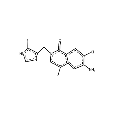 Cc1[nH]cnc1Cn1cc(C)c2cc(N)c(Cl)cc2c1=O